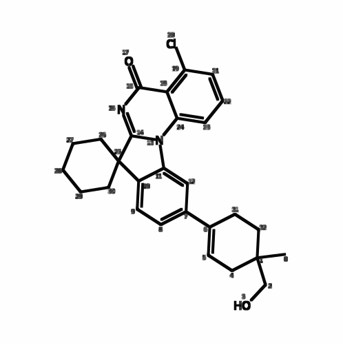 CC1(CO)CC=C(c2ccc3c(c2)-n2c(nc(=O)c4c(Cl)cccc42)C32CCCCC2)CC1